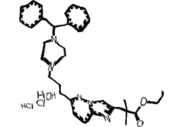 CCOC(=O)C(C)(C)c1cn2nc(CCCN3CCN(C(c4ccccc4)c4ccccc4)CC3)ccc2n1.Cl.Cl.Cl